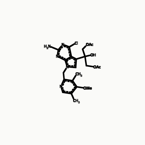 COc1c(C)cnc(Cn2cc(C(O)(COC(C)=O)COC(C)=O)c3c(Cl)nc(N)nc32)c1C